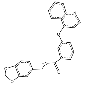 O=C(NCc1ccc2c(c1)OCO2)c1cccc(Oc2ccnc3ccccc23)c1